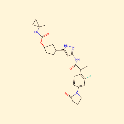 CC(C(=O)Nc1cc([C@H]2CC[C@@H](OC(=O)NC3(C)CC3)C2)[nH]n1)c1ccc(N2CCCC2=O)cc1F